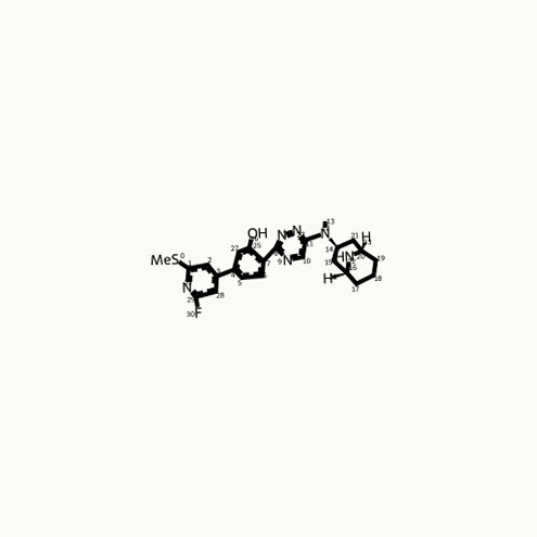 CSc1cc(-c2ccc(-c3ncc(N(C)[C@@H]4C[C@H]5CCC[C@@H](C4)N5)nn3)c(O)c2)cc(F)n1